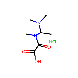 CC(N(C)C)N(C)C(=O)C(=O)O.Cl